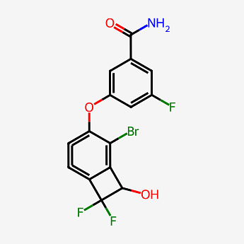 NC(=O)c1cc(F)cc(OC2=C=C=C3C(=C2Br)C(O)C3(F)F)c1